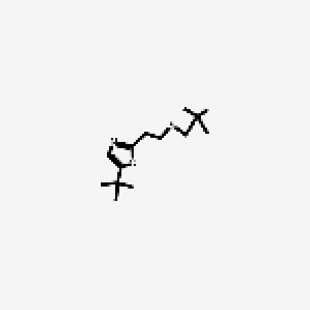 CC(C)(C)CSCCc1ncc(C(C)(C)C)o1